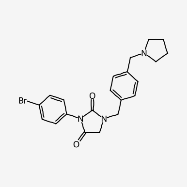 O=C1CN(Cc2ccc(CN3CCCC3)cc2)C(=O)N1c1ccc(Br)cc1